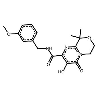 COc1cccc(CNC(=O)c2nc3n(c(=O)c2O)CCOC3(C)C)c1